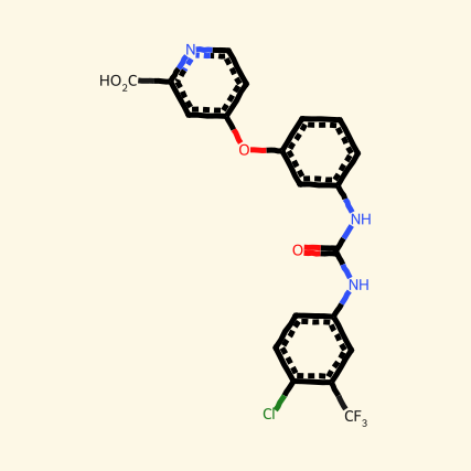 O=C(Nc1cccc(Oc2ccnc(C(=O)O)c2)c1)Nc1ccc(Cl)c(C(F)(F)F)c1